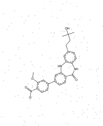 COc1cc(-c2ccc3c(c2)Nc2cc(CCC(C)(C)O)ccc2NC3=O)ccc1[N+](=O)[O-]